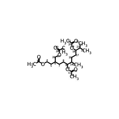 CC(=O)OCCC(CCC(OC(C)=O)C(C)CCC(OC(C)=O)C(C)C)COC(C)=O